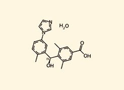 Cc1ccc(-n2ccnc2)cc1[C@H](O)c1c(C)cc(C(=O)O)cc1C.O